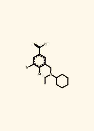 CCN(Cc1cc(C(=O)O)cc(Br)c1N)C1CCCCC1